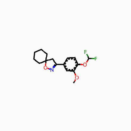 COc1cc(C2=NOC3(CCCCC3)C2)ccc1OC(F)F